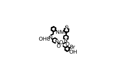 CNc1ccccc1CCN(C=O)C1CCN(C(=O)O[C@H](Cc2ccc(O)c(Br)c2)C(=O)N2CCC(C3CCN(C)CC3)CC2)CC1